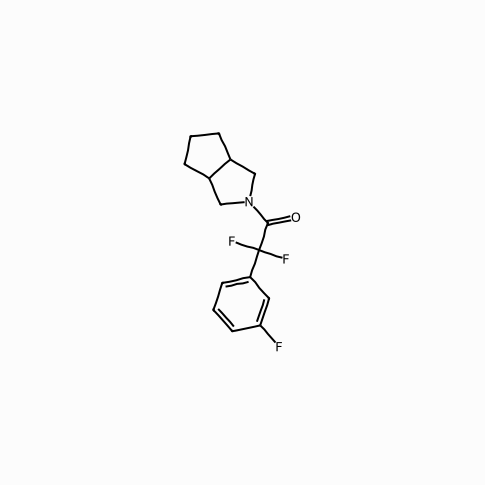 O=C(N1CC2CCCC2C1)C(F)(F)c1cccc(F)c1